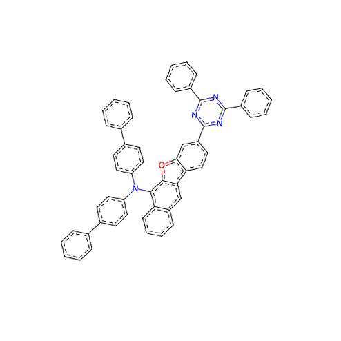 c1ccc(-c2ccc(N(c3ccc(-c4ccccc4)cc3)c3c4ccccc4cc4c3oc3cc(-c5nc(-c6ccccc6)nc(-c6ccccc6)n5)ccc34)cc2)cc1